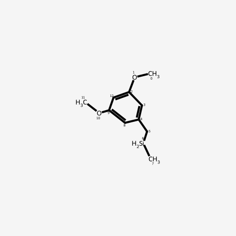 COc1cc(C[SiH2]C)cc(OC)c1